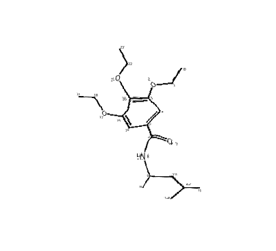 CCOc1cc(C(=O)NC(C)CC(C)C)cc(OCC)c1OCC